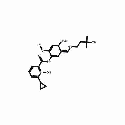 CCOC1=CC(NC)/C(=C\NCCC(C)(C)O)C=C1NC(=O)c1cccc(C2CC2)[n+]1O